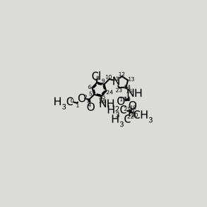 CCOC(=O)c1cc(Cl)c(CN2CCC(NC(=O)OC(C)(C)C)C2)cc1N